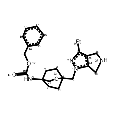 CCc1nn(CC23CCC(NC(=O)OCc4ccccc4)(CC2)CC3)c2c1CNC2